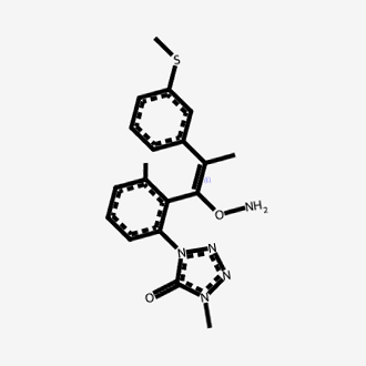 CSc1cccc(/C(C)=C(/ON)c2c(C)cccc2-n2nnn(C)c2=O)c1